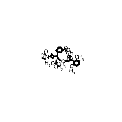 Cc1cccc(C)c1-c1cc2nc(n1)NS(=O)(=O)c1cccc(c1)C(C1CC(N3CCOC3=O)C1)[C@H](CC(C)(C)C)CO2